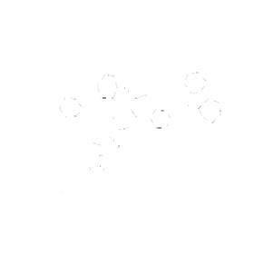 CC(C)(C)OC(=O)N[C@@H]1C(=O)N2C(C(=O)OC(c3ccccc3)c3ccccc3)=C(C(=C3CCNC3=O)c3ccc4c(c3)OC(c3ccccc3)(c3ccccc3)O4)CS[C@H]12